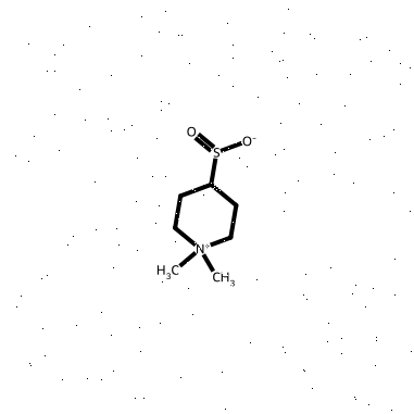 C[N+]1(C)CCC(S(=O)[O-])CC1